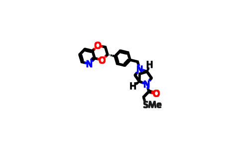 CSCC(=O)N1C[C@@H]2C[C@H]1CN2Cc1ccc([C@H]2COc3cccnc3O2)cc1